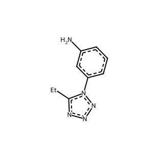 CCc1nnnn1-c1cccc(N)c1